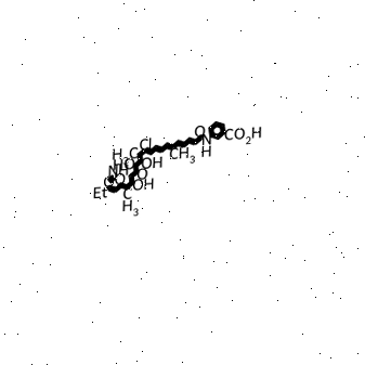 CC/C=C/[C@@H](OC(N)=O)[C@@H](C)[C@H](O)CC(=O)[C@@H](O)[C@H](O)[C@H](C)/C(Cl)=C/C=C/C=C(C)/C=C/C=C/C(=O)N[C@H]1CCC[C@H](C(=O)O)C1